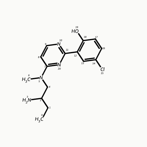 CCC(N)CN(C)c1ccnc(-c2cc(Cl)ccc2O)n1